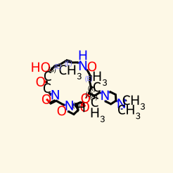 CC1=C\[C@@H](O)CC(=O)Cc2nc(co2)C(=O)N2CCC[C@@H]2C(=O)O[C@H]([C@@H](C)CN2CCC(N(C)C)CC2)[C@H](C)/C=C/C(=O)NC\C=C\1